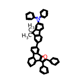 CC1(C)c2cc(-c3ccc4c5ccccc5c5c(-c6ccccc6)c(-c6ccccc6)oc5c4c3)ccc2-c2ccc(N(c3ccccc3)c3ccccc3)cc21